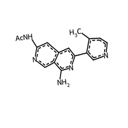 CC(=O)Nc1cc2cc(-c3cnccc3C)nc(N)c2cn1